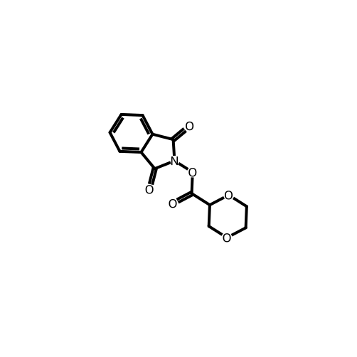 O=C(ON1C(=O)c2ccccc2C1=O)C1COCCO1